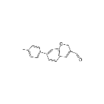 Cc1ccc(-c2ccc3c(c2)OCC(C=O)=C3)cc1